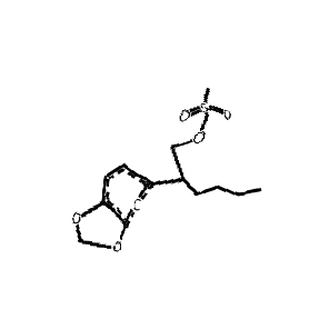 CCCCC(COS(C)(=O)=O)c1ccc2c(c1)OCO2